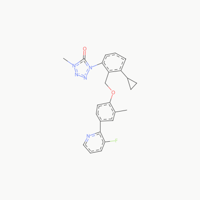 Cc1cc(-c2ncccc2F)ccc1OCc1c(C2CC2)cccc1-n1nnn(C)c1=O